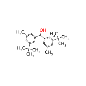 Cc1cc(C(O)c2cc(C)cc(C(C)(C)C)c2)cc(C(C)(C)C)c1